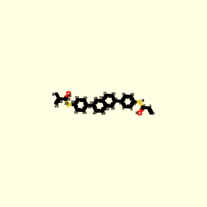 C=CC(=O)Sc1ccc(-c2ccc3cc(-c4ccc(SC(=O)C(=C)C)cc4)ccc3c2)cc1